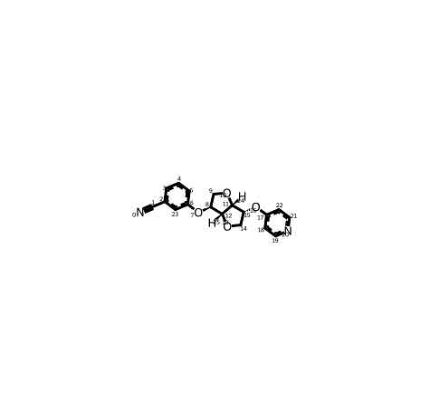 N#Cc1cccc(O[C@H]2CO[C@H]3[C@@H]2OC[C@H]3Oc2ccncc2)c1